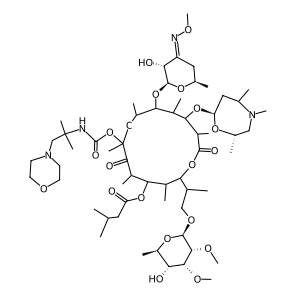 CON=C1C[C@@H](C)O[C@@H](OC2C(C)CC(C)(OC(=O)NC(C)(C)CN3CCOCC3)C(=O)C(C)C(OC(=O)CC(C)C)C(C)C(C(C)CO[C@@H]3O[C@H](C)[C@@H](O)[C@@H](OC)[C@H]3OC)OC(=O)C(C)C(O[C@H]3CC(C)N(C)C[C@H](C)O3)C2C)[C@@H]1O